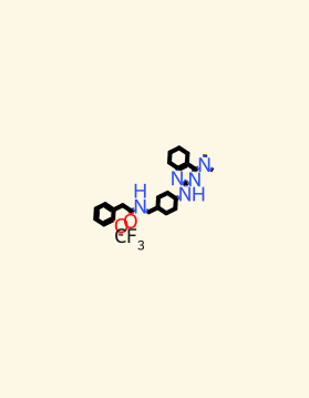 CN(C)c1nc(NC2CCC(CNC(=O)Cc3ccccc3OC(F)(F)F)CC2)nc2c1CCCC2